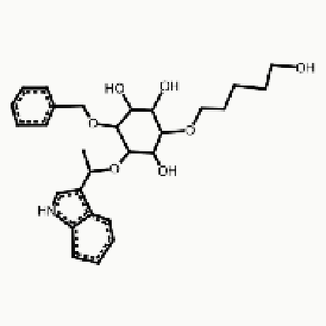 CC(OC1C(O)C(OCCCCCO)C(O)C(O)C1OCc1ccccc1)c1c[nH]c2ccccc12